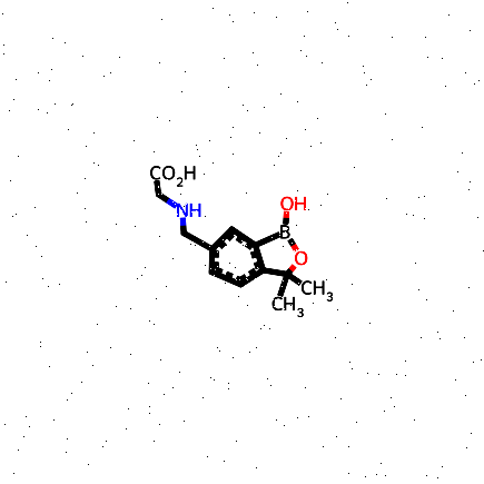 CC1(C)OB(O)c2cc(CNCC(=O)O)ccc21